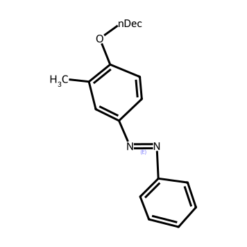 CCCCCCCCCCOc1ccc(/N=N/c2ccccc2)cc1C